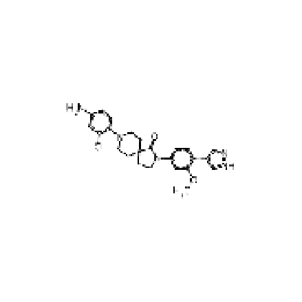 COc1cc(N2CCC3(CCN(c4ccc(N)cc4Cl)CC3)C2=O)ccc1-c1cn[nH]c1